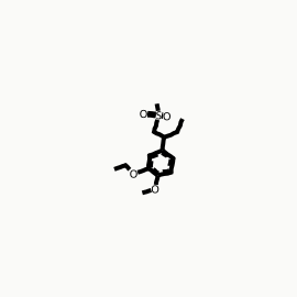 CCOc1cc(C(CC)CS(C)(=O)=O)ccc1OC